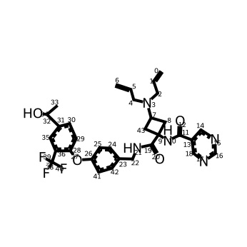 C=CCN(CC=C)C1CC(NC(=O)c2cncnc2)(C(=O)NCc2ccc(Oc3ccc(C(C)O)cc3C(F)(F)F)cc2)C1